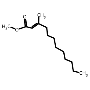 CCCCCCCCCC(C)=CC(=O)OC